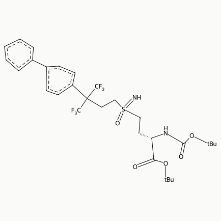 CC(C)(C)OC(=O)N[C@@H](CCS(=N)(=O)CCC(c1ccc(-c2ccccc2)cc1)(C(F)(F)F)C(F)(F)F)C(=O)OC(C)(C)C